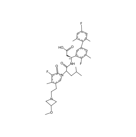 COC1CN(CCc2cn(C(CC(C)C)C(=O)N[C@@H](CC(=O)O)c3cc(-c4c(C)cc(F)cc4C)cc(C)c3F)c(=O)c(F)c2C)C1